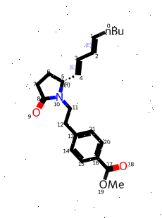 CCCC/C=C/C=C/[C@H]1CCC(=O)N1CCc1ccc(C(=O)OC)cc1